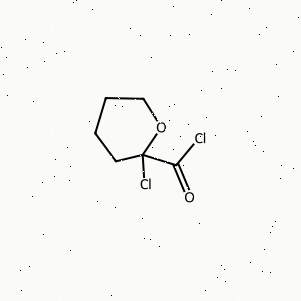 O=C(Cl)C1(Cl)CCCCO1